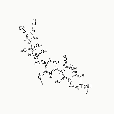 CNc1ccc2c(=O)n(-c3ncc(NC(=O)NS(=O)(=O)c4cc(Cl)c(Cl)s4)c(OC)n3)c(=O)[nH]c2c1